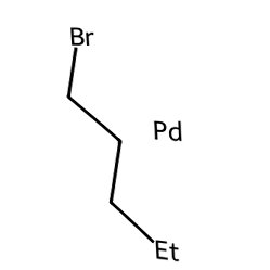 CCCCCBr.[Pd]